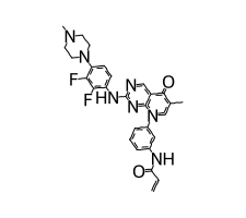 C=CC(=O)Nc1cccc(-n2cc(C)c(=O)c3cnc(Nc4ccc(N5CCN(C)CC5)c(F)c4F)nc32)c1